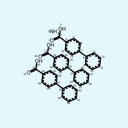 N.O=C(O)c1ccc(-c2ccccc2)cc1.O=C(O)c1ccc(-c2ccccc2)cc1.O=C(O)c1ccc(-c2ccccc2)cc1